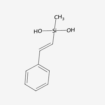 C[Si](O)(O)C=Cc1ccccc1